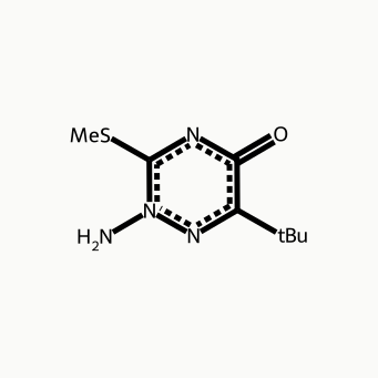 CSc1nc(=O)c(C(C)(C)C)nn1N